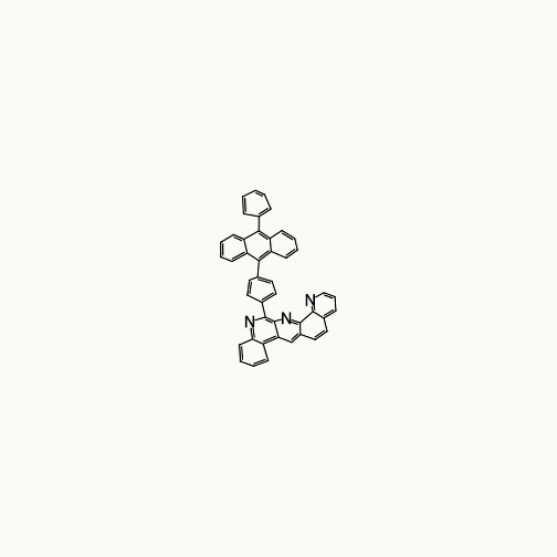 c1ccc(-c2c3ccccc3c(-c3ccc(-c4nc5ccccc5c5cc6ccc7cccnc7c6nc45)cc3)c3ccccc23)cc1